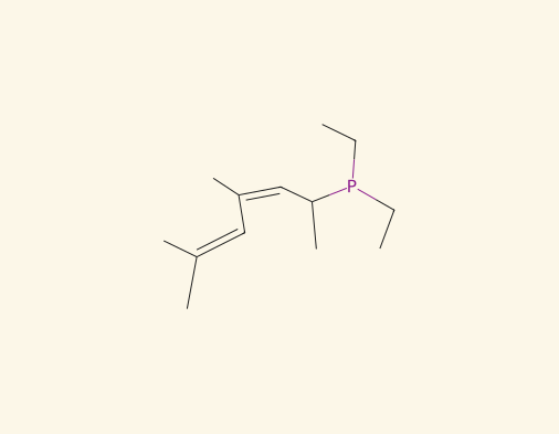 CCP(CC)C(C)C=C(C)C=C(C)C